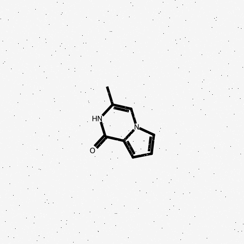 Cc1cn2cccc2c(=O)[nH]1